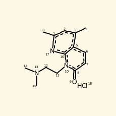 Cc1cc(C)c2ccc(=O)n(CCN(C)C)c2n1.Cl